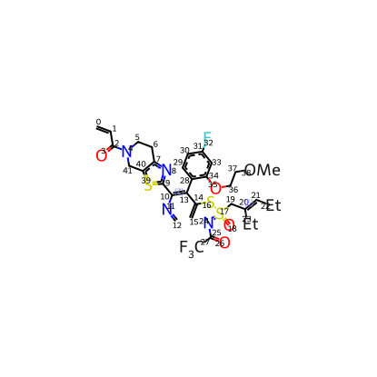 C=CC(=O)N1CCc2nc(/C(N=C)=C(/C(=C)SS(=O)(C/C(=C/CC)CC)=NC(=O)C(F)(F)F)c3ccc(F)cc3OCCOC)sc2C1